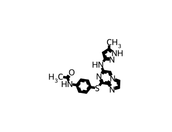 CC(=O)Nc1ccc(Sc2nc(Nc3cc(C)[nH]n3)cn3ccnc23)cc1